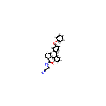 N#CCNC(=O)C1CCCCC1c1ccccc1-c1ccc(Oc2ccccc2)cc1